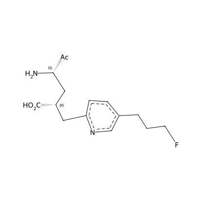 CC(=O)[C@@H](N)C[C@H](Cc1ccc(CCCF)cn1)C(=O)O